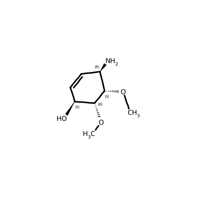 CO[C@@H]1[C@H](OC)[C@@H](O)C=C[C@H]1N